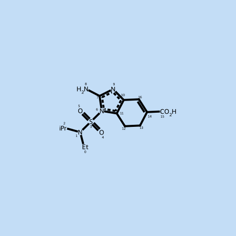 CCN(C(C)C)S(=O)(=O)n1c(N)nc2c1CCC(C(=O)O)=C2